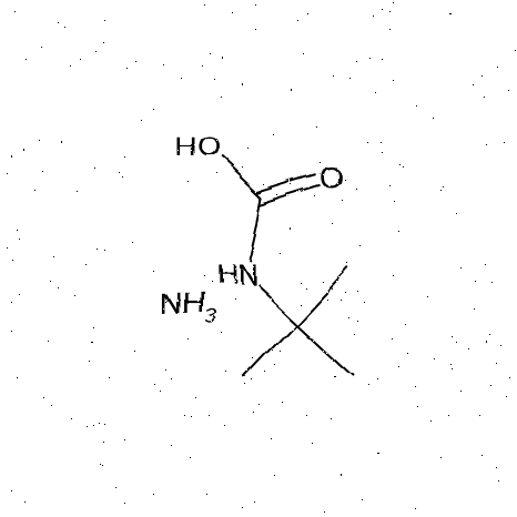 CC(C)(C)NC(=O)O.N